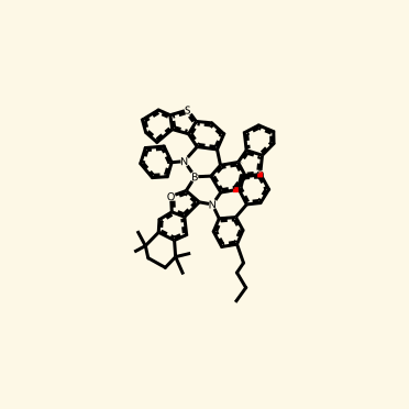 CCCCc1ccc(N2c3cc4oc5ccccc5c4c4c3B(c3oc5cc6c(cc5c32)C(C)(C)CCC6(C)C)N(c2ccccc2)c2c-4ccc3sc4ccccc4c23)c(-c2ccccc2)c1